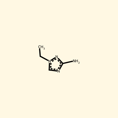 CCn1cnc(N)n1